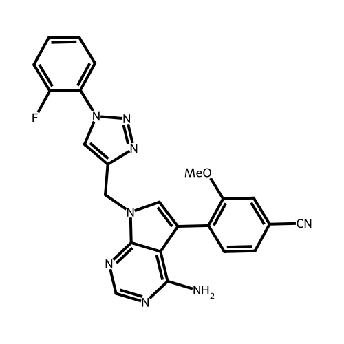 COc1cc(C#N)ccc1-c1cn(Cc2cn(-c3ccccc3F)nn2)c2ncnc(N)c12